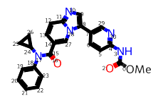 COC(=O)Nc1ccc(-c2cnc3ccc(C(=O)N(c4ccccc4)C4CC4)cn23)cn1